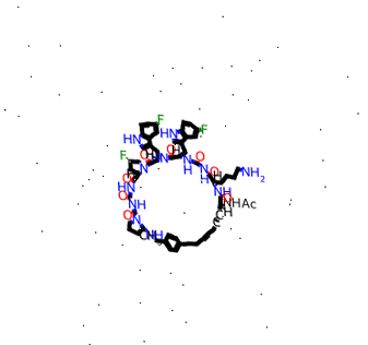 CC(=O)N[C@H]1CCC/C=C\Cc2ccc(cc2)CN[C@]2(C)CCCN2C(=O)NC(=O)NC(=O)[C@@H]2C[C@H](F)CN2C(=O)[C@@H](Cc2c[nH]c3ccc(F)cc23)NC(=O)[C@@H](Cc2c[nH]c3ccc(F)cc23)NC(=O)NC(=O)[C@@H](CCCCN)NC1=O